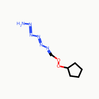 N/N=N/N=N/N=C/OOC1CCCC1